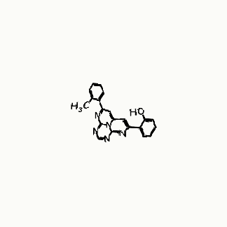 Cc1ccccc1C1=NC2=NC=NC3=NC(c4ccccc4O)=CC(=C1)N23